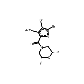 CC(=O)Oc1c(C(=O)N2C[C@@H](C)O[C@@H](C)C2)sc(Br)c1Br